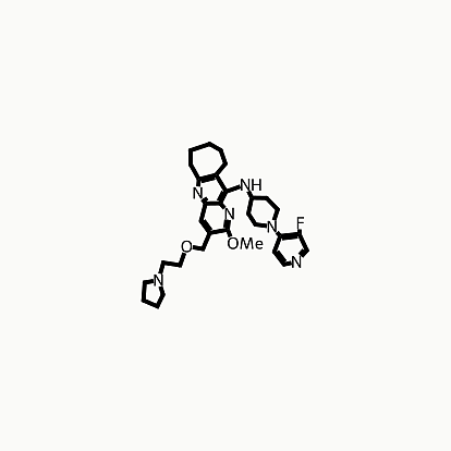 COc1nc2c(NC3CCN(c4ccncc4F)CC3)c3c(nc2cc1COCCN1CCCC1)CCCCC3